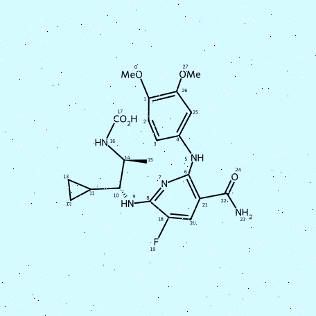 COc1ccc(Nc2nc(N[C@H](C3CC3)[C@H](C)NC(=O)O)c(F)cc2C(N)=O)cc1OC